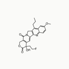 CCCc1c2c(nc3ccc(OC)cc13)-c1cc3c(c(=O)n1C2)COC(=O)C3(O)CCF